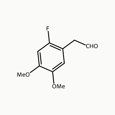 COc1cc(F)c(CC=O)cc1OC